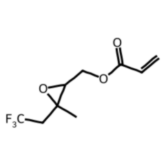 C=CC(=O)OCC1OC1(C)CC(F)(F)F